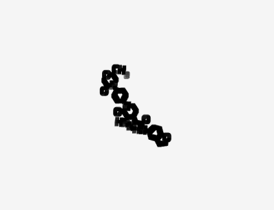 C[C@@H]1CN(c2ccc(N3CCc4c(C(=O)Nc5ccc6occc6c5)n[nH]c4C3=O)cc2)C(=O)CO1